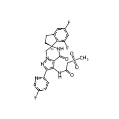 CS(=O)(=O)CC(=O)Nc1c(-c2ccc(F)cn2)nn2c1C(=O)N[C@]1(CCc3cc(F)cc(F)c31)C2